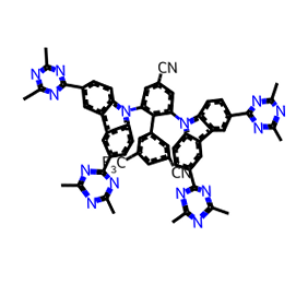 Cc1nc(C)nc(-c2ccc3c(c2)c2cc(-c4nc(C)nc(C)n4)ccc2n3-c2cc(C#N)cc(-n3c4ccc(-c5nc(C)nc(C)n5)cc4c4cc(-c5nc(C)nc(C)n5)ccc43)c2-c2cc(C#N)cc(C(F)(F)F)c2)n1